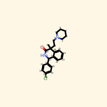 CC1(CCN2CCCCC2)C(=O)NC(c2ccc(Cl)cc2)c2ccccc21